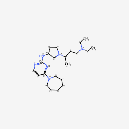 CCN(CC)CCC(C)N1CCC(Nc2nccc(N3CCCCCC3)n2)C1